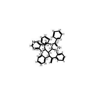 C=C1c2ccccc2N2N=C(c3ccccc3)N(c3ccccc3)C2C2C1c1ccccc1N1c3ncncc3N(C)C21